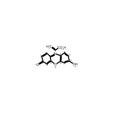 C=CC(=O)O.O=c1ccc2nc3ccc(O)cc3oc-2c1